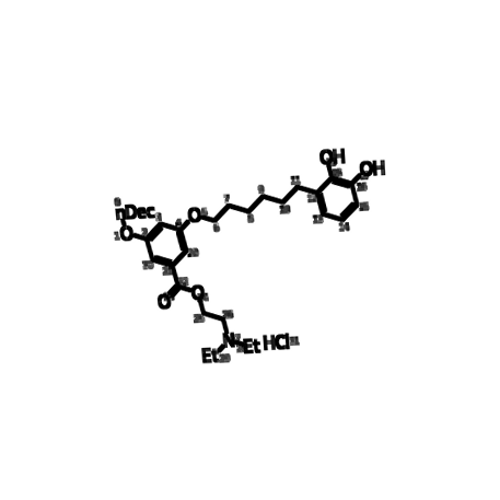 CCCCCCCCCCOc1cc(OCCCCCCc2cccc(O)c2O)cc(C(=O)OCCN(CC)CC)c1.Cl